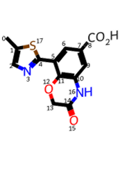 Cc1cnc(-c2cc(C(=O)O)cc3c2OCC(=O)N3)s1